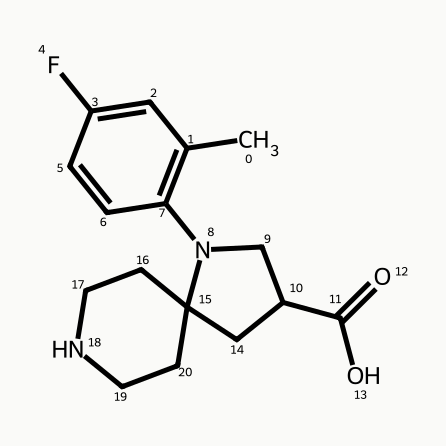 Cc1cc(F)ccc1N1CC(C(=O)O)CC12CCNCC2